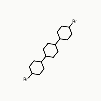 BrC1CCC(C2CCC(C3CCC(Br)CC3)CC2)CC1